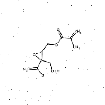 C=C(C)C(=O)OCC1OC1(CC(=O)O)C(=C)Cl